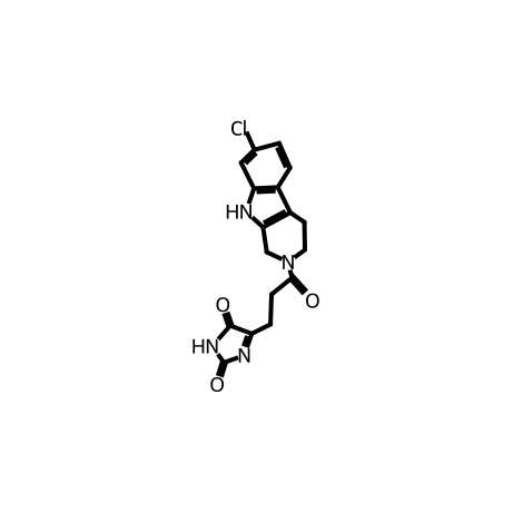 O=C1N=C(CCC(=O)N2CCc3c([nH]c4cc(Cl)ccc34)C2)C(=O)N1